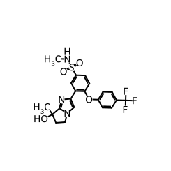 CNS(=O)(=O)c1ccc(Oc2ccc(C(F)(F)F)cc2)c(-c2cn3c(n2)C(C)(O)CC3)c1